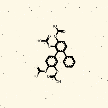 O=C(O)Oc1ccc(-c2c(-c3ccccc3)ccc(OC(=O)O)c2OC(=O)O)cc1OC(=O)O